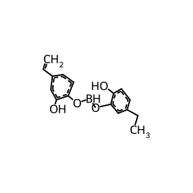 C=Cc1ccc(OBOc2cc(CC)ccc2O)c(O)c1